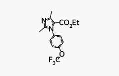 CCOC(=O)c1c(C)nc(C)n1-c1ccc(OC(F)(F)F)cc1